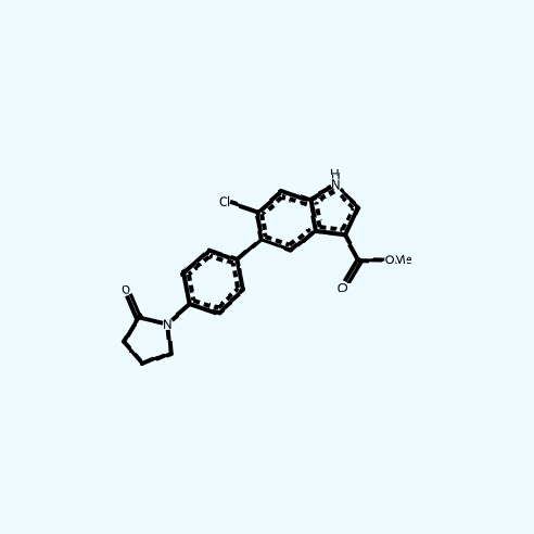 COC(=O)c1c[nH]c2cc(Cl)c(-c3ccc(N4CCCC4=O)cc3)cc12